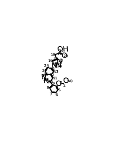 COCOc1ccccc1-c1cc2cc(-n3cc(CC(=O)O)nn3)ccc2nn1